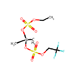 CCOS(=O)(=O)O[Si](C)(C)OS(=O)(=O)OCC(F)(F)F